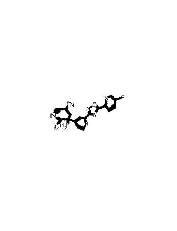 CC1N=CC(C#N)=CC1(F)c1ccnc(-c2noc(-c3ccc(F)cn3)n2)c1